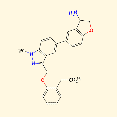 CC(C)n1nc(COc2ccccc2CC(=O)O)c2cc(-c3ccc4c(c3)C(N)CO4)ccc21